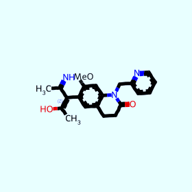 COc1cc2c(cc1/C(C(C)=N)=C(\C)O)CCC(=O)N2Cc1ccccn1